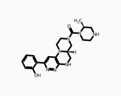 C[C@H]1CNCCN1C(=O)N1CCN2c3cc(-c4ccccc4O)nnc3NC[C@H]2C1